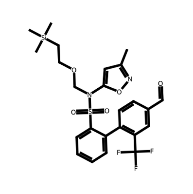 Cc1cc(N(COCC[Si](C)(C)C)S(=O)(=O)c2ccccc2-c2ccc(C=O)cc2C(F)(F)F)on1